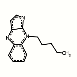 CCCCCn1c2nccc-2nc2ccccc21